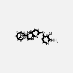 Nc1nccc(Sc2ccc3nc(N4CC5CCC4CNC5)cnc3n2)c1Cl